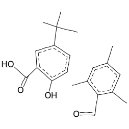 CC(C)(C)c1ccc(O)c(C(=O)O)c1.Cc1cc(C)c(C=O)c(C)c1